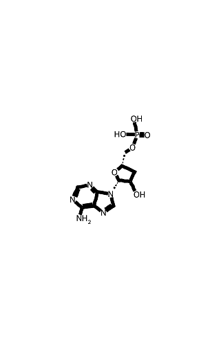 Nc1ncnc2c1ncn2[C@@H]1O[C@H](COP(=O)(O)O)CC1O